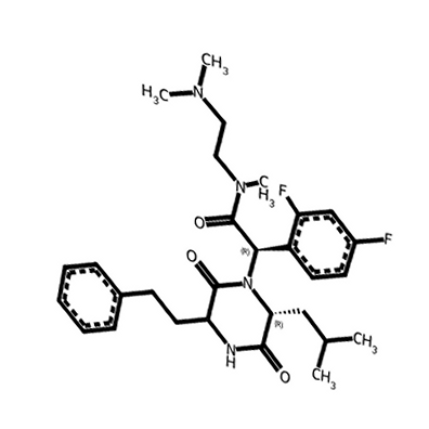 CC(C)C[C@@H]1C(=O)NC(CCc2ccccc2)C(=O)N1[C@@H](C(=O)N(C)CCN(C)C)c1ccc(F)cc1F